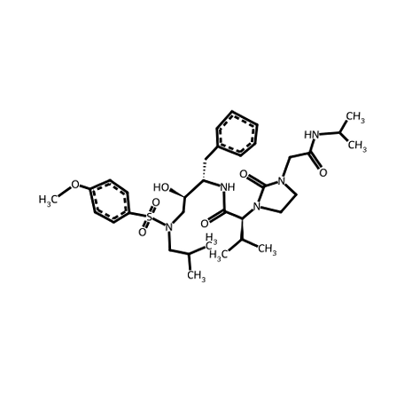 COc1ccc(S(=O)(=O)N(CC(C)C)C[C@@H](O)[C@H](Cc2ccccc2)NC(=O)[C@H](C(C)C)N2CCN(CC(=O)NC(C)C)C2=O)cc1